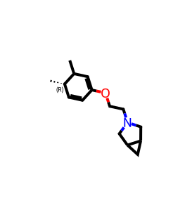 CC1C=C(OCCN2CC3CC3C2)C=C[C@@H]1C